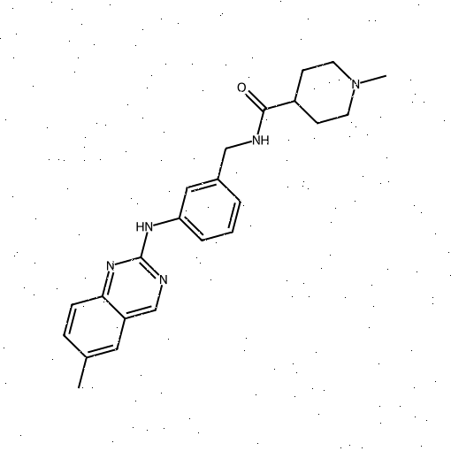 Cc1ccc2nc(Nc3cccc(CNC(=O)C4CCN(C)CC4)c3)ncc2c1